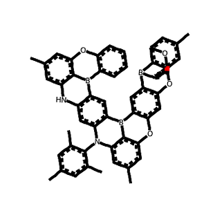 Cc1cc(C)c(N2c3cc4c(cc3B3c5cc6c(cc5Oc5cc(C)cc2c53)Oc2cc(C)cc3c2B6c2ccccc2O3)B2c3ccccc3Oc3cc(C)cc(c32)N4)c(C)c1